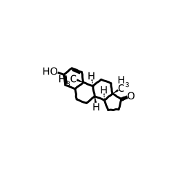 C[C@]12C=CC(O)=CC1CC[C@@H]1[C@@H]2CC[C@]2(C)C(=O)CC[C@@H]12